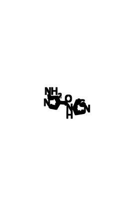 Nc1cc(C(=O)Nc2ccncc2)ccn1